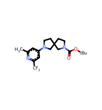 Cc1cc(N2CCC3(CCN(C(=O)OC(C)(C)C)C3)C2)cc(C(F)(F)F)n1